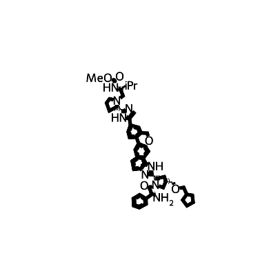 COC(=O)N[C@H](CN1CCC[C@H]1c1ncc(-c2ccc3c(c2)COc2cc4c(ccc5nc([C@@H]6C[C@H](COCC7CCCC7)CN6C(=O)[C@H](N)c6ccccc6)[nH]c54)cc2-3)[nH]1)C(C)C